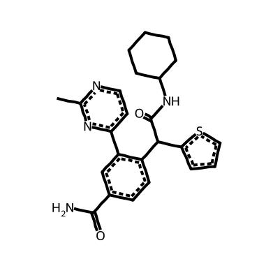 Cc1nccc(-c2cc(C(N)=O)ccc2C(C(=O)NC2CCCCC2)c2cccs2)n1